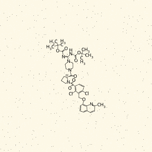 Cc1ccc2cccc(OCc3c(Cl)ccc(S(=O)(=O)N4CCC[C@H]4C(=O)N4CCN(C(=NC(=O)OC(C)(C)C)NC(=O)OC(C)(C)C)CC4)c3Cl)c2n1